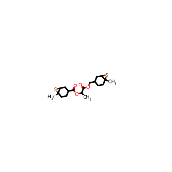 CC(OC(=O)C1CCC2(C)SC2C1)C(=O)OCC1CCC2(C)SC2C1